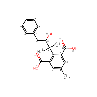 Cc1cc(C(=O)O)c(C(C)(C)C(O)Cc2ccccc2)c(C(=O)O)c1